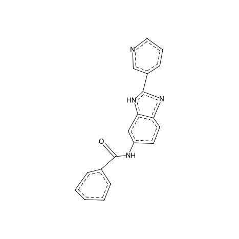 O=C(Nc1ccc2nc(-c3cccnc3)[nH]c2c1)c1ccccc1